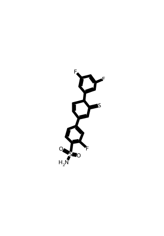 NS(=O)(=O)c1ccc(C2=CC(=S)C(c3cc(F)cc(F)c3)C=C2)cc1F